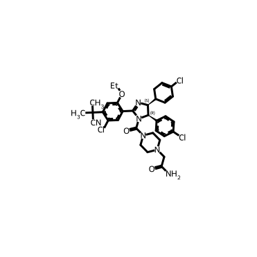 CCOc1cc(C(C)(C)C#N)c(Cl)cc1C1=N[C@@H](C2C=CC(Cl)=CC2)[C@@H](c2ccc(Cl)cc2)N1C(=O)N1CCN(CC(N)=O)CC1